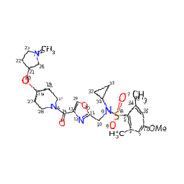 COc1cc(C)c(S(=O)(=O)N(Cc2nc(C(=O)N3CCC(OC4CCN(C)C4)CC3)co2)C2CC2)c(C)c1